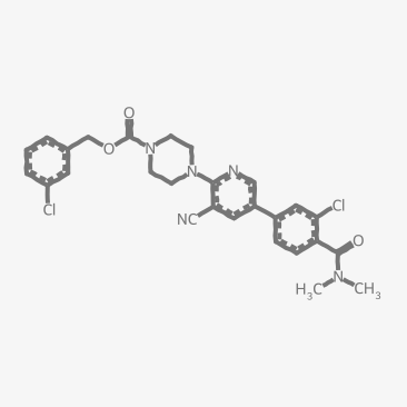 CN(C)C(=O)c1ccc(-c2cnc(N3CCN(C(=O)OCc4cccc(Cl)c4)CC3)c(C#N)c2)cc1Cl